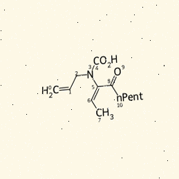 C=CCN(C(=O)O)C(=CC)C(=O)CCCCC